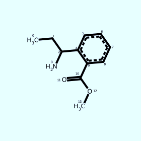 CCC(N)c1ccccc1C(=O)OC